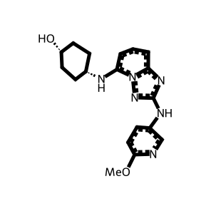 COc1ccc(Nc2nc3cccc(N[C@H]4CC[C@@H](O)CC4)n3n2)cn1